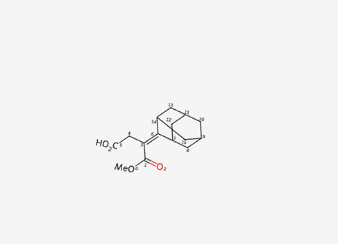 COC(=O)C(CC(=O)O)=C1C2CC3CC(C2)CC1C3